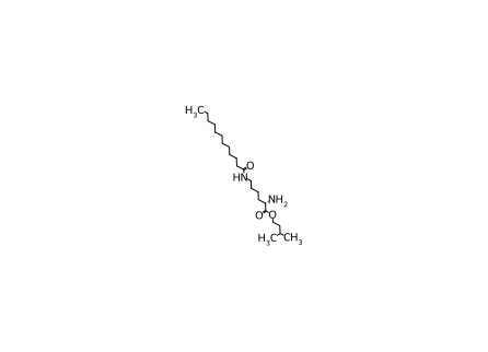 CCCCCCCCCCCC(=O)NCCCC[C@H](N)C(=O)OCCC(C)C